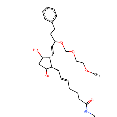 CCNC(=O)CCCC=CC[C@@H]1[C@@H](C=CC(CCc2ccccc2)OCOCCOC)[C@H](O)C[C@@H]1O